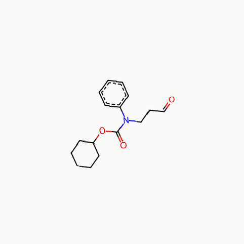 O=CCCN(C(=O)OC1CCCCC1)c1ccccc1